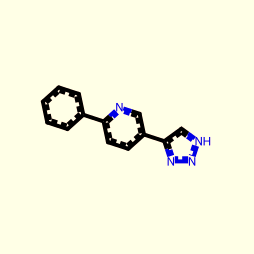 c1ccc(-c2ccc(-c3c[nH]nn3)cn2)cc1